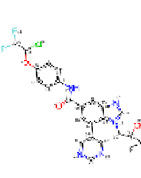 O=C(Nc1ccc(OC(Cl)C(F)F)cc1)c1cc(-c2cncnc2)c2c(c1)ncn2CC1(O)CC1